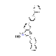 O/N=c1\cc(-c2cc3ccccc3cn2)oc2cc(-c3ccc(-c4ccccc4)cc3)ccc12